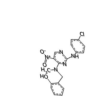 CN(Cc1ccccc1O)c1nc(Nc2ccc(Cl)cc2)ncc1[N+](=O)[O-]